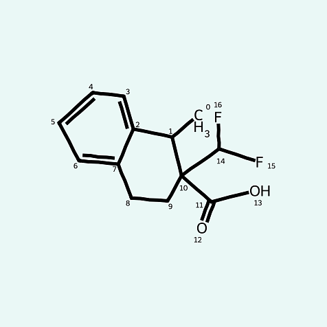 CC1c2ccccc2CCC1(C(=O)O)C(F)F